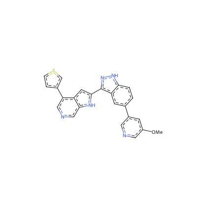 COc1cncc(-c2ccc3[nH]nc(-c4cc5c(-c6ccsc6)cncc5[nH]4)c3c2)c1